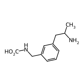 CC(N)Cc1cccc(CNC(=O)O)c1